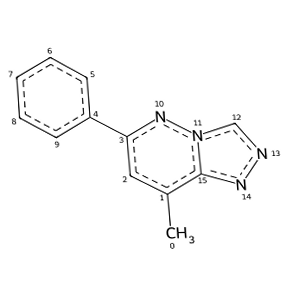 Cc1cc(-c2ccccc2)nn2cnnc12